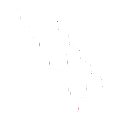 CCCCCCCCCC(Cc1ccc(O)c(OC)c1)C(N)=O.CCCCCCCCCCC(=O)O